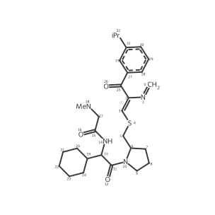 C=N/C(=C\SCC1CCCN1C(=O)C(NC(=O)CNC)C1CCCCC1)C(=O)c1cccc(C(C)C)c1